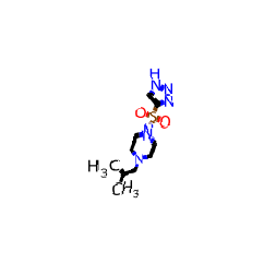 C[C](C)CN1CCN(S(=O)(=O)c2c[nH]nn2)CC1